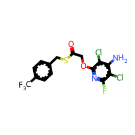 Nc1c(Cl)c(F)nc(OCC(=O)SCc2ccc(C(F)(F)F)cc2)c1Cl